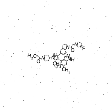 C=CC(=O)N1CCC(n2nc(-c3ccc4c(c3)CCN4C(=O)CN3CC[C@H](F)C3)c(-c3c(Cl)c(C)cc4[nH]ncc34)c2C)CC1